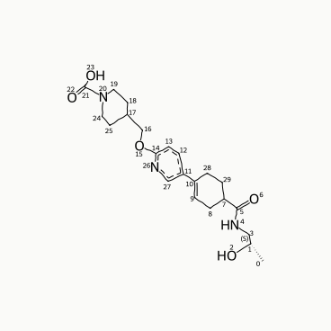 C[C@H](O)CNC(=O)C1CC=C(c2ccc(OCC3CCN(C(=O)O)CC3)nc2)CC1